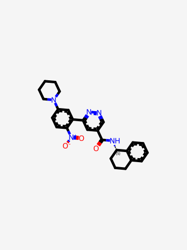 O=C(N[C@H]1CCCc2ccccc21)c1cnnc(-c2cc(N3CCCCC3)ccc2[N+](=O)[O-])c1